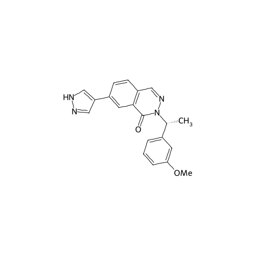 COc1cccc([C@@H](C)n2ncc3ccc(-c4cn[nH]c4)cc3c2=O)c1